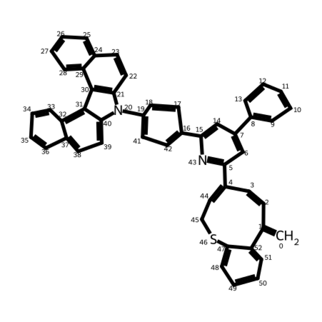 C=C1/C=C\C(c2cc(-c3ccccc3)cc(-c3ccc(-n4c5ccc6ccccc6c5c5c6ccccc6ccc54)cc3)n2)=C/CSc2ccccc21